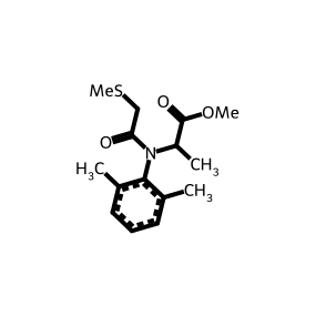 COC(=O)C(C)N(C(=O)CSC)c1c(C)cccc1C